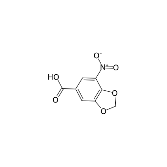 O=C(O)c1cc2c(c([N+](=O)[O-])c1)OCO2